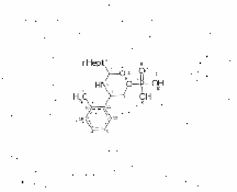 CCCCCCCC(=O)NC(COP(=O)(O)O)c1ccccc1C